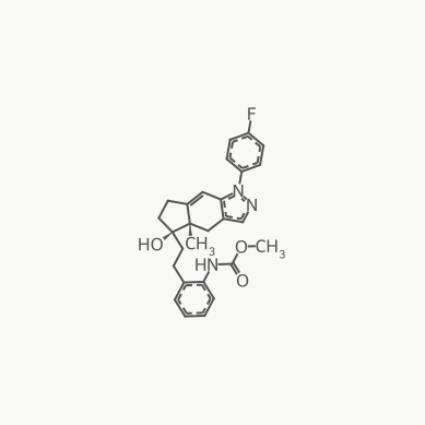 COC(=O)Nc1ccccc1CC[C@]1(O)CCC2=Cc3c(cnn3-c3ccc(F)cc3)C[C@@]21C